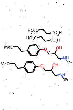 COCCc1ccc(OCC(O)CNC(C)C)cc1.COCCc1ccc(OCC(O)CNC(C)C)cc1.O=C(O)CCC(=O)O.O=C(O)CCC(=O)O